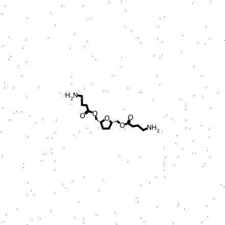 NCCCC(=O)OC[C@H]1CC[C@@H](COC(=O)CCCN)O1